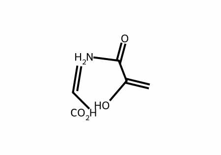 C=C(O)C(N)=O.C=CC(=O)O